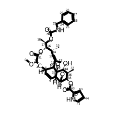 CO[C@H]1C[C@H]2C=C[C@H]3[C@H]4O[C@]2(/C(C)=C/[C@@H](C)[C@@H]([C@@H](C)OC(=O)NCc2ccccc2)OC1=O)[C@@H]3[C@H](O)[C@@H](C)[C@H]4OC(=O)c1ccc[nH]1